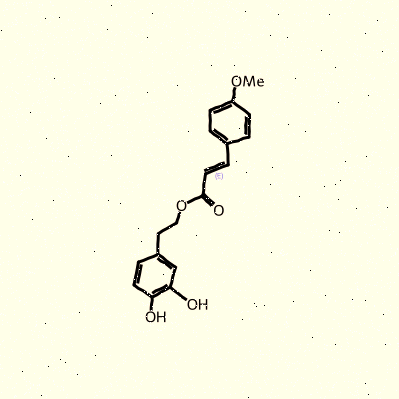 COc1ccc(/C=C/C(=O)OCCc2ccc(O)c(O)c2)cc1